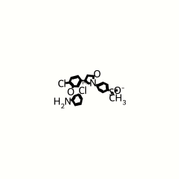 C[S+]([O-])c1ccc(N2C[C@@H](c3ccc(Cl)c(Oc4c(N)cccc4Cl)c3)CC2=O)cc1